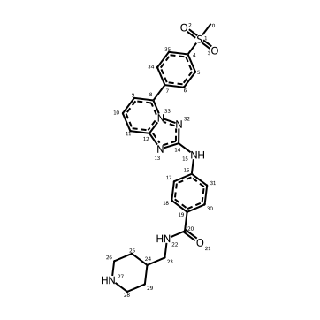 CS(=O)(=O)c1ccc(-c2cccc3nc(Nc4ccc(C(=O)NCC5CCNCC5)cc4)nn23)cc1